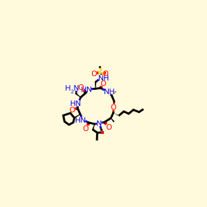 CCCCCC[C@H]1OC[C@@H](C)NC(=O)[C@H](CNS(C)(=O)=O)NC(=O)[C@H](CN)NC(=O)[C@H](C2CCCCC2)NC(=O)[C@H](CC(C)C)N(C)C(=O)[C@@H]1C